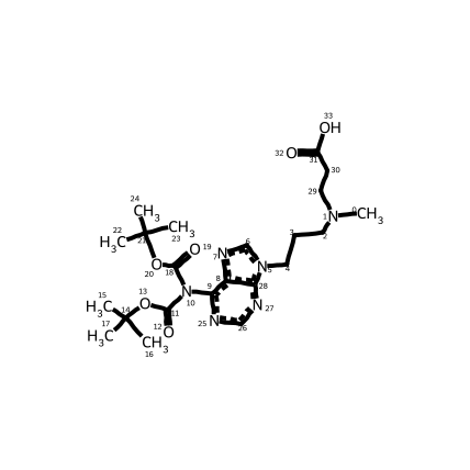 CN(CCCn1cnc2c(N(C(=O)OC(C)(C)C)C(=O)OC(C)(C)C)ncnc21)CCC(=O)O